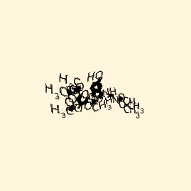 COC(=O)[C@H]1O[C@@H](Oc2ccc(CO)cc2C(=O)NCCNC(=O)OC(C)(C)C)[C@H](OC(C)=O)[C@@H](OC(C)=O)[C@@H]1OC(C)=O